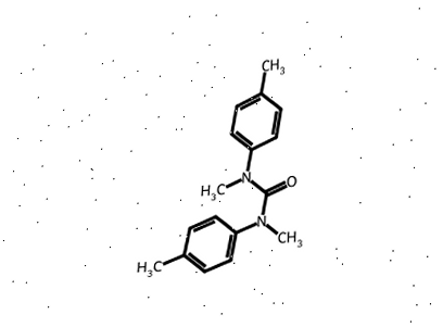 Cc1ccc(N(C)C(=O)N(C)c2ccc(C)cc2)cc1